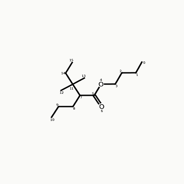 CCCCOC(=O)C(CCC)C(C)(C)CC